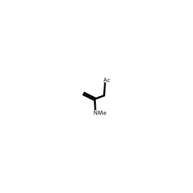 C=C(CC(C)=O)NC